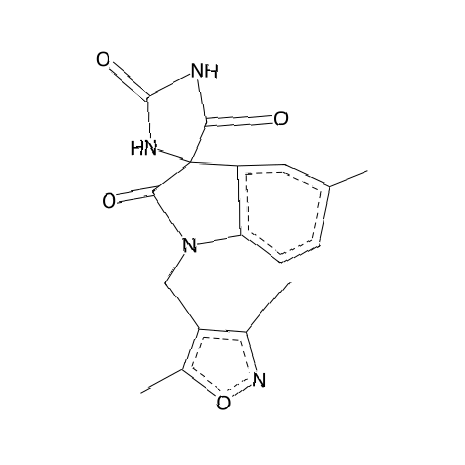 Cc1ccc2c(c1)C1(NC(=O)NC1=O)C(=O)N2Cc1c(C)noc1C